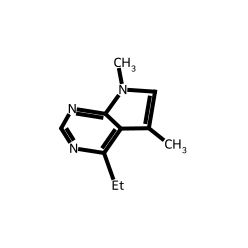 CCc1ncnc2c1c(C)cn2C